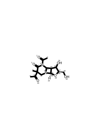 CC(=O)N1C(=O)C(C)(C(C)=O)CN2C1C1C(O)[C@@H](CO)O[C@H]12